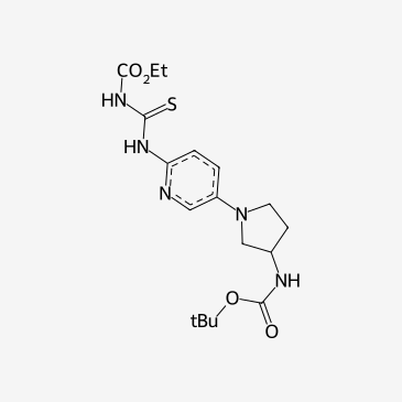 CCOC(=O)NC(=S)Nc1ccc(N2CCC(NC(=O)OC(C)(C)C)C2)cn1